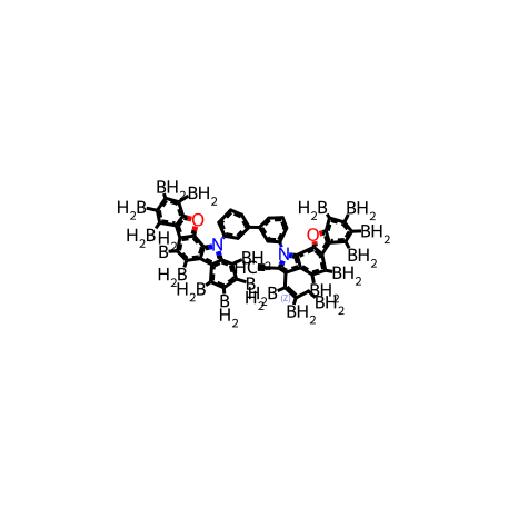 BC/C(B)=C(/B)c1c(C#C)n(-c2cccc(-c3cccc(-n4c5c(B)c(B)c(B)c(B)c5c5c(B)c(B)c6c(oc7c(B)c(B)c(B)c(B)c76)c54)c3)c2)c2c1c(B)c(B)c1c2oc2c(B)c(B)c(B)c(B)c21